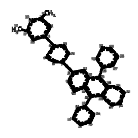 Cc1cc(-c2ccc(-c3ccc4c(-c5ccccc5)c5ccccc5c(-c5ccccc5)c4c3)cc2)cc(C)n1